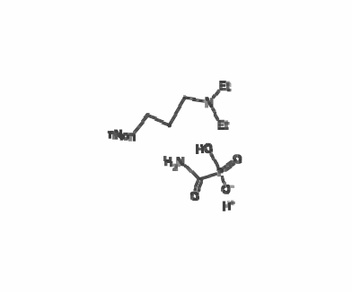 CCCCCCCCCCCCN(CC)CC.NC(=O)P(=O)([O-])O.[H+]